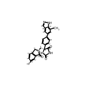 Cc1cc(-c2ccc([C@]3(CN4Cc5ccc(F)cc5C4=O)NC(=O)NC3=O)cc2)cc2cn[nH]c12